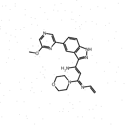 C=C/N=C(\C=C(/N)c1n[nH]c2ccc(-c3cncc(OC)n3)cc12)N1CCOCC1